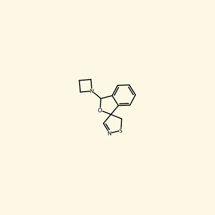 C1=NSCC12OC(N1CCC1)c1ccccc12